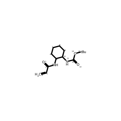 C=CC(=O)NC1CCCCC1NC(=O)OC(C)(C)C